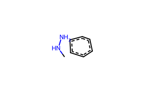 CNN.c1ccccc1